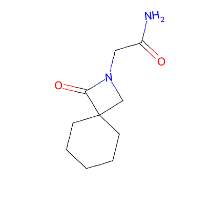 NC(=O)CN1CC2(CCCCC2)C1=O